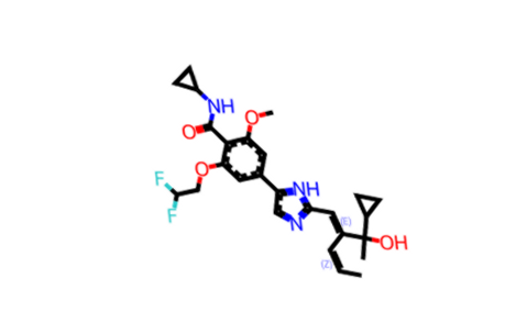 C/C=C\C(=C/c1ncc(-c2cc(OC)c(C(=O)NC3CC3)c(OCC(F)F)c2)[nH]1)C(C)(O)C1CC1